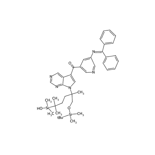 CC(CCC(C)(C)[Si](C)(C)O)(CO[Si](C)(C)C(C)(C)C)n1cc(C(=O)c2cncc(N=C(c3ccccc3)c3ccccc3)c2)c2cncnc21